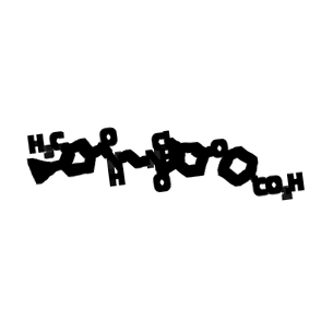 Cc1cc(C(=O)NCCNC(=O)c2ccc(O[C@H]3CC[C@@H](C(=O)O)CC3)cc2Cl)ccc1C1CC1